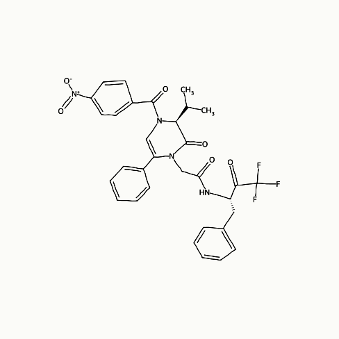 CC(C)[C@H]1C(=O)N(CC(=O)N[C@@H](Cc2ccccc2)C(=O)C(F)(F)F)C(c2ccccc2)=CN1C(=O)c1ccc([N+](=O)[O-])cc1